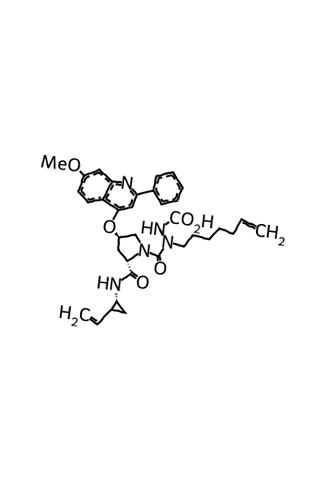 C=CCCCCCN(NC(=O)O)C(=O)N1C[C@H](Oc2cc(-c3ccccc3)nc3cc(OC)ccc23)C[C@H]1C(=O)N[C@@H]1CC1C=C